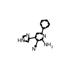 N#Cc1c(-c2c[nH]cn2)cc(-c2ccccc2)nc1N